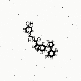 O=C(NCCN1CCC(O)CC1)c1cnn2ccc(N3CCCC3c3cc(F)ccc3F)cc12